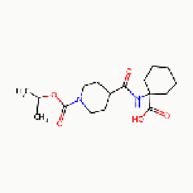 CC(C)OC(=O)N1CCC(C(=O)NC2(C(=O)O)CCCCC2)CC1